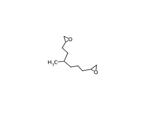 CC(CCCC1CO1)CCC1CO1